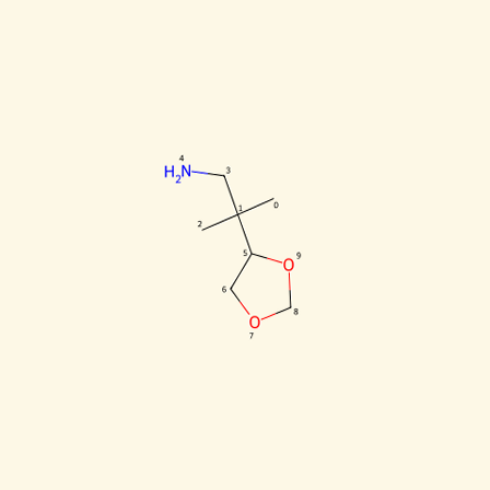 CC(C)(CN)C1COCO1